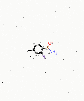 Cc1ccc([S+](N)[O-])c(I)c1